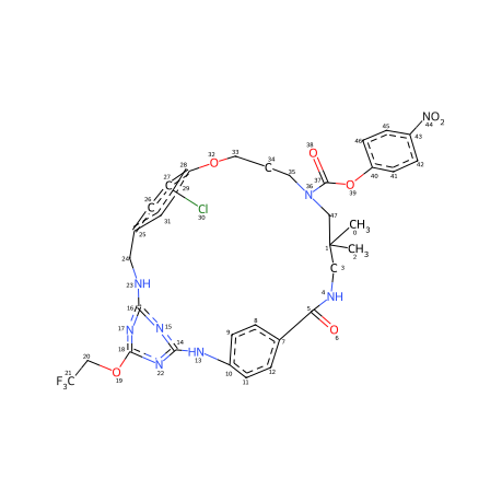 CC1(C)CNC(=O)c2ccc(cc2)Nc2nc(nc(OCC(F)(F)F)n2)NCc2ccc(c(Cl)c2)OCCCN(C(=O)Oc2ccc([N+](=O)[O-])cc2)C1